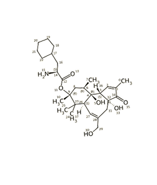 CC1=C[C@H]2[C@@]3(O)[C@H](C)C[C@@](C)(OC(=O)[C@@H](N)CC4CCCCC4)C(C)(C)[C@@H]3C=C(CO)C[C@]2(O)C1=O